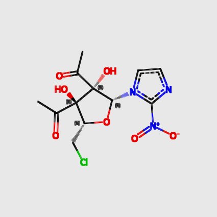 CC(=O)[C@@]1(O)[C@@H](CCl)O[C@@H](n2ccnc2[N+](=O)[O-])[C@]1(O)C(C)=O